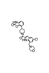 O=C(c1cc2cc(Cl)cc(CN3CCOCC3)c2[nH]1)N1CCC(c2cccc3[nH]c(=O)oc23)CC1